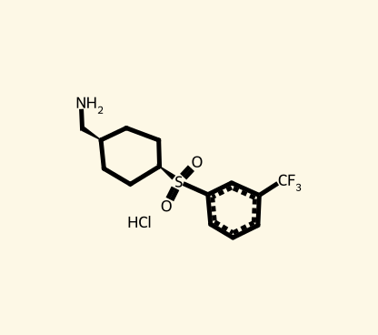 Cl.NC[C@H]1CC[C@@H](S(=O)(=O)c2cccc(C(F)(F)F)c2)CC1